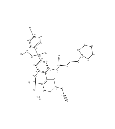 C#CCN1CCC2=C(C1)c1c(OC(=O)CCCN3CCCCC3)cc(C(C)(CCC)c3ccc(F)cc3)cc1OC2(C)C.Cl